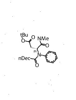 CCCCCCCCCCC(=O)N(c1ccccc1)[C@H](CC(=O)OC(C)(C)C)C(=O)NC